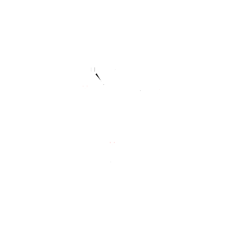 C/C=C1/C(=O)OC(C)(C)[C@H]2Oc3ccc4ccc(=O)oc4c3C12